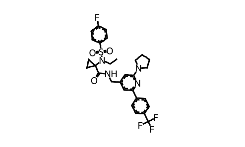 CCN(C1(C(=O)NCc2cc(-c3ccc(C(F)(F)F)cc3)nc(N3CCCC3)c2)CC1)S(=O)(=O)c1ccc(F)cc1